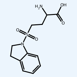 NC(CCS(=O)(=O)N1CCc2ccccc21)C(=O)O